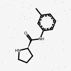 Cc1cccc(NC(=O)[C@H]2CCCN2)c1